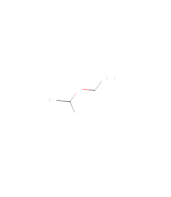 CCCCCCOC(CC)C(=O)O